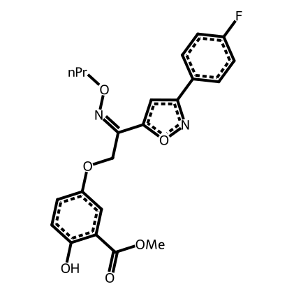 CCCON=C(COc1ccc(O)c(C(=O)OC)c1)c1cc(-c2ccc(F)cc2)no1